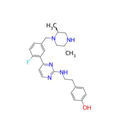 C[C@@H]1CN(Cc2ccc(F)c(-c3ccnc(NCCc4ccc(O)cc4)n3)c2)[C@@H](C)CN1